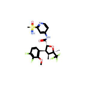 COc1c([C@H]2[C@H](C(=O)Nc3ccnc([S@](C)(=N)=O)c3)O[C@@](C)(C(F)(F)F)[C@H]2C)ccc(F)c1F